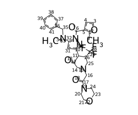 Cc1occc1C(=O)n1nc(C2C(=O)CN(CC(=O)N3CCOCC3)CC2C(F)(F)F)cc1N(C)Cc1ccccc1